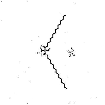 CCCCCCCCCCCCCCCC(=O)[N+](CC)(C(=O)CCCCCCCCCCCCCCC)C(C)O.COS(=O)(=O)[O-]